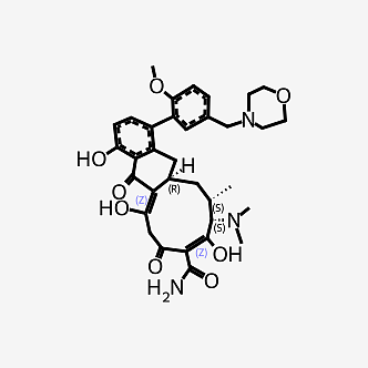 COc1ccc(CN2CCOCC2)cc1-c1ccc(O)c2c1C[C@H]1C[C@H](C)[C@H](N(C)C)/C(O)=C(/C(N)=O)C(=O)C/C(O)=C\1C2=O